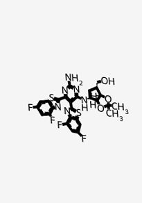 CC1(C)O[C@@H]2[C@@H](CO)C[C@@H](Nc3nc(N)nc(-c4nc5c(F)cc(F)cc5s4)c3-c3nc4c(F)cc(F)cc4s3)[C@@H]2O1